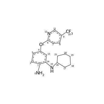 Nc1ccc(Oc2ccc(C(F)(F)F)cn2)cc1NC1CCCCC1